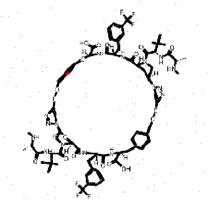 CN[C@@H](C)C(=O)N[C@H](C(=O)N1C[C@@H]2C[C@H]1C(=O)N[C@@H](Cc1cccc(C(F)(F)F)c1)C(=O)N[C@H](C(=O)O)Cc1ccc(cc1)OCc1cn(nn1)[C@H]1C[C@@H](C(=O)N[C@@H](Cc3cccc(C(F)(F)F)c3)C(=O)N[C@H](C(=O)O)Cc3ccc(cc3)OCc3cn2nn3)N(C(=O)[C@@H](NC(=O)[C@H](C)NC)C(C)(C)C)C1)C(C)(C)C